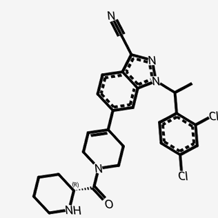 CC(c1ccc(Cl)cc1Cl)n1nc(C#N)c2ccc(C3=CCN(C(=O)[C@H]4CCCCN4)CC3)cc21